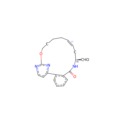 O=C[C@@H]1C/C=C\CCCCOc2nccc(n2)-c2ccccc2C(=O)N1